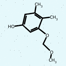 COCOc1cc(O)cc(C)c1C